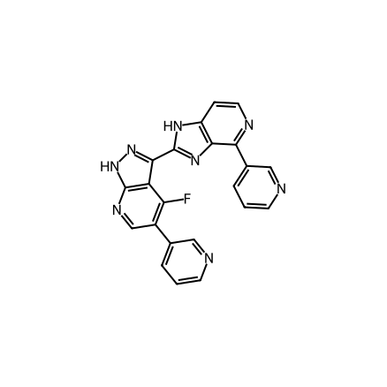 Fc1c(-c2cccnc2)cnc2[nH]nc(-c3nc4c(-c5cccnc5)nccc4[nH]3)c12